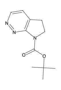 CC(C)(C)OC(=O)N1CCc2ccnnc21